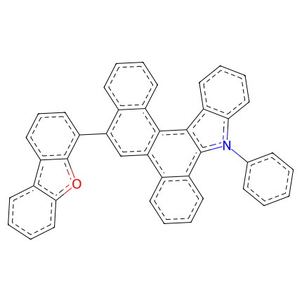 c1ccc(-n2c3ccccc3c3c4c5ccccc5c(-c5cccc6c5oc5ccccc56)cc4c4ccccc4c32)cc1